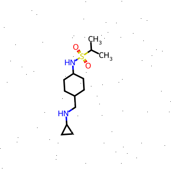 CC(C)S(=O)(=O)NC1CCC(CNC2CC2)CC1